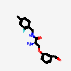 Cc1ccc(CNC(=O)[C@@H](N)COc2cccc(C=O)c2)c(F)c1